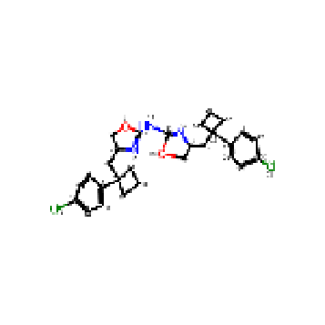 Clc1ccc(C2(CC3COC(NC4=NC(CC5(c6ccc(Cl)cc6)CCC5)CO4)=N3)CCC2)cc1